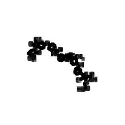 Cn1c(=O)n(C2CCC(=O)NC2=O)c2ccc(OC3CCN(C(=O)Nc4cccc(CS(=O)(=O)N5CC[C@H](Nc6cccc(-c7sc(C(=O)O)c(OCC(=O)O)c7Cl)c6)CC5(C)C)c4)CC3)cc21